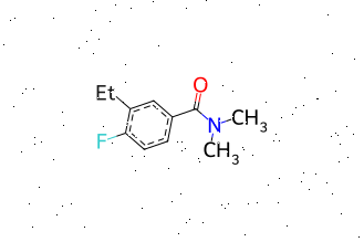 CCc1cc(C(=O)N(C)C)ccc1F